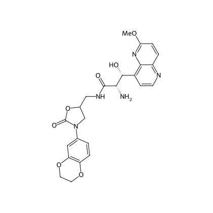 COc1ccc2nccc([C@@H](O)[C@H](N)C(=O)NCC3CN(c4ccc5c(c4)OCCO5)C(=O)O3)c2n1